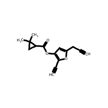 C#CCc1cc(OC(=O)C2CC2(C)C)c(C#C)o1